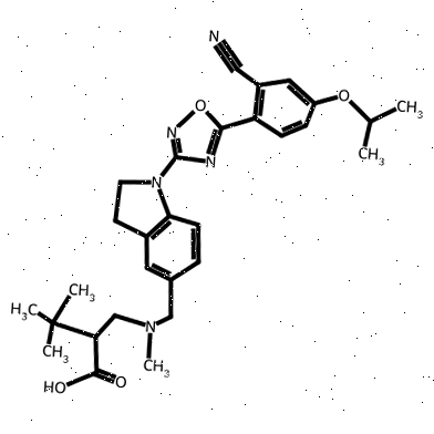 CC(C)Oc1ccc(-c2nc(N3CCc4cc(CN(C)CC(C(=O)O)C(C)(C)C)ccc43)no2)c(C#N)c1